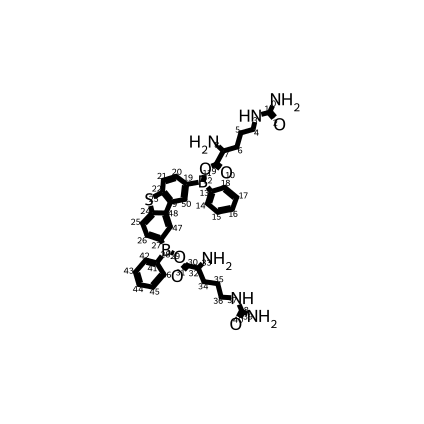 NC(=O)NCCCC(N)C(=O)OB(c1ccccc1)c1ccc2sc3ccc(B(OC(=O)C(N)CCCNC(N)=O)c4ccccc4)cc3c2c1